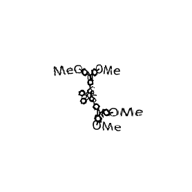 COc1ccc(N(c2ccc(OC)cc2)c2ccc(-c3cc4c(s3)-c3sc(-c5ccc(N(c6ccc(OC)cc6)c6ccc(OC)cc6)cc5)cc3[Si]4(c3ccccc3)c3ccccc3)cc2)cc1